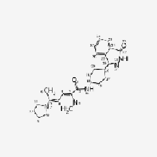 C=N/C(=C\C=C(/C)N1CCCC1)C(=O)N[C@H]1CC[C@H](c2n[nH]c(=O)c3ccccc32)CC1